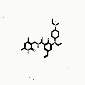 C=Cc1cc(C(=O)NCc2c(C)cc(C)[nH]c2=O)c(C)c(N(CC)C2CCC(N(C)CC)CC2)c1